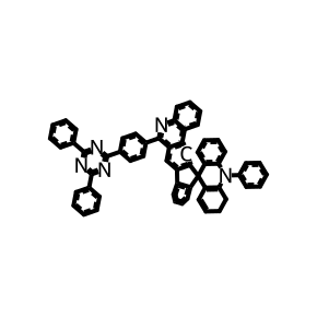 C1=CC2=C(CC1)N(c1ccccc1)c1ccccc1C21c2ccccc2-c2cc3c(-c4ccc(-c5nc(-c6ccccc6)nc(-c6ccccc6)n5)cc4)nc4ccccc4c3cc21